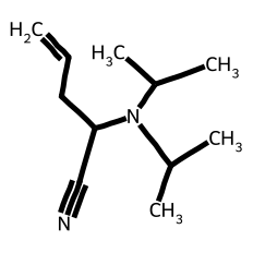 C=CCC(C#N)N(C(C)C)C(C)C